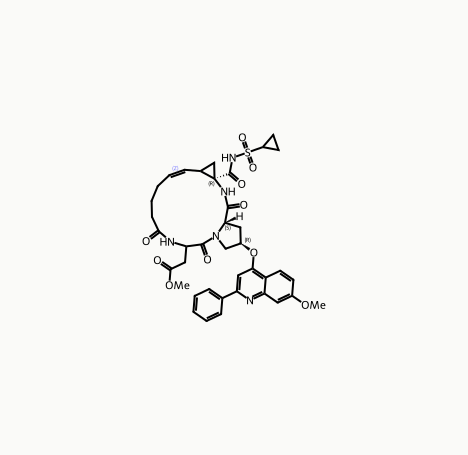 COC(=O)CC1NC(=O)CCC/C=C\C2C[C@@]2(C(=O)NS(=O)(=O)C2CC2)NC(=O)[C@@H]2C[C@@H](Oc3cc(-c4ccccc4)nc4cc(OC)ccc34)CN2C1=O